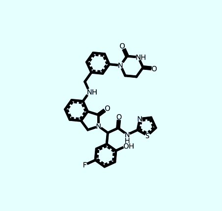 O=C1CCN(c2cccc(CNc3cccc4c3C(=O)N(C(C(=O)Nc3nccs3)c3cc(F)ccc3O)C4)c2)C(=O)N1